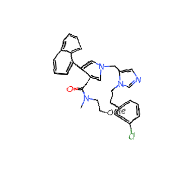 COCCN(C)C(=O)c1cn(Cc2cncn2CCc2cccc(Cl)c2)cc1-c1cccc2ccccc12